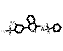 Cc1cc(-c2nnc(NNS(=O)(=O)c3ccccc3)c3ccccc23)ccc1S(N)(=O)=O